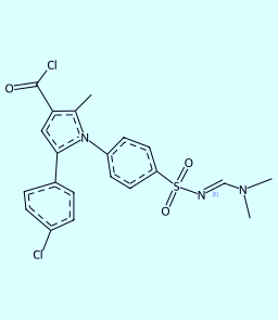 Cc1c(C(=O)Cl)cc(-c2ccc(Cl)cc2)n1-c1ccc(S(=O)(=O)/N=C/N(C)C)cc1